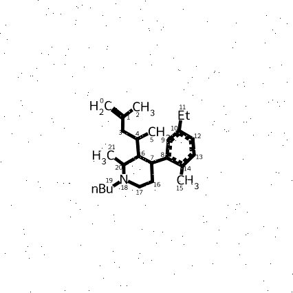 C=C(C)CC(C)C1C(c2cc(CC)ccc2C)CCN(CCCC)C1C